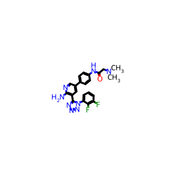 CN(C)CC(=O)Nc1ccc(-c2cnc(N)c(-c3nnnn3-c3cccc(F)c3F)c2)cc1